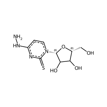 NNc1ccn([C@@H]2O[C@H](CO)C(O)C2O)c(=S)n1